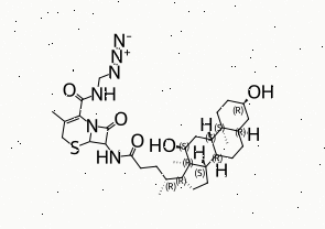 CC1=C(C(=O)NCN=[N+]=[N-])N2C(=O)C(NC(=O)CC[C@@H](C)[C@H]3CC[C@H]4[C@@H]5CC[C@@H]6C[C@H](O)CC[C@]6(C)[C@H]5C[C@H](O)[C@]34C)C2SC1